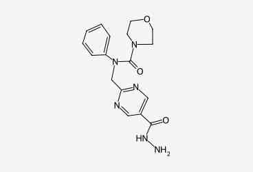 NNC(=O)c1cnc(CN(C(=O)N2CCOCC2)c2ccccc2)nc1